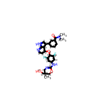 CN(C)C(=O)c1cccc(-c2c[nH]c3nccc(Oc4c(F)cc(NC5=NC[C@](C)(CO)CO5)cc4F)c23)c1